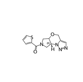 O=C(c1cccs1)N1CC2OCc3cnnn3[C@@H]2C1